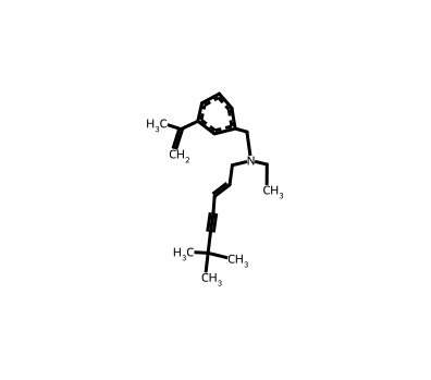 C=C(C)c1cccc(CN(CC)C/C=C/C#CC(C)(C)C)c1